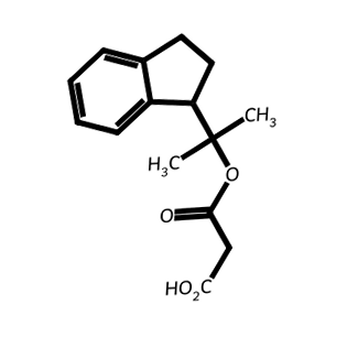 CC(C)(OC(=O)CC(=O)O)C1CCc2ccccc21